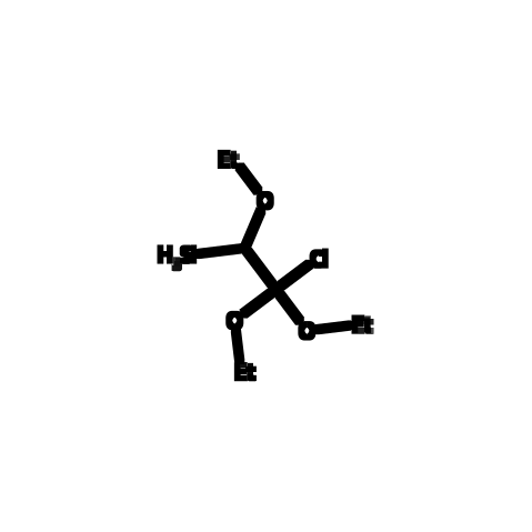 CCOC([SiH3])C(Cl)(OCC)OCC